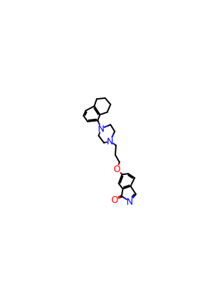 O=C1N=Cc2ccc(OCCCN3CCN(c4cccc5c4CCCC5)CC3)cc21